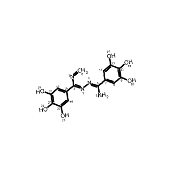 C=N/C(=N\N=C(/N)c1cc(O)c(O)c(O)c1)c1cc(O)c(O)c(O)c1